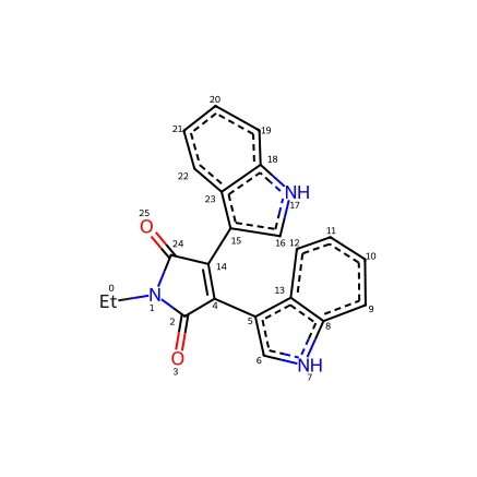 CCN1C(=O)C(c2c[nH]c3ccccc23)=C(c2c[nH]c3ccccc23)C1=O